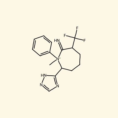 C[N+]1(c2ccccc2)C(=N)C(C(F)(F)F)CCCC1c1ncn[nH]1